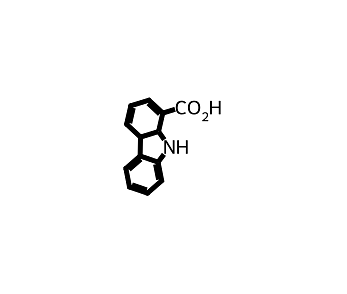 O=C(O)C1=CC=CC2c3ccccc3NC12